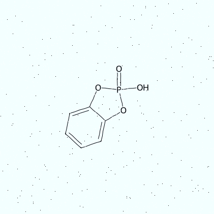 O=P1(O)Oc2ccccc2O1